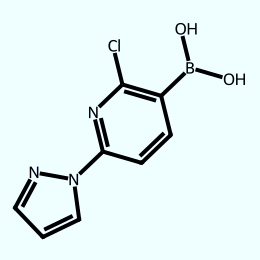 OB(O)c1ccc(-n2cccn2)nc1Cl